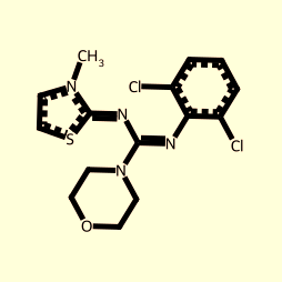 Cn1ccsc1=NC(=Nc1c(Cl)cccc1Cl)N1CCOCC1